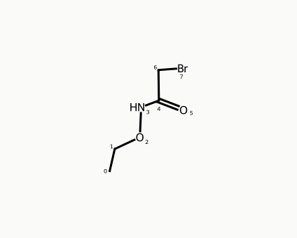 CCONC(=O)CBr